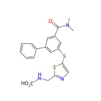 CN(C)C(=O)c1cc(Sc2cnc(CNC(=O)O)s2)cc(-c2ccccc2)c1